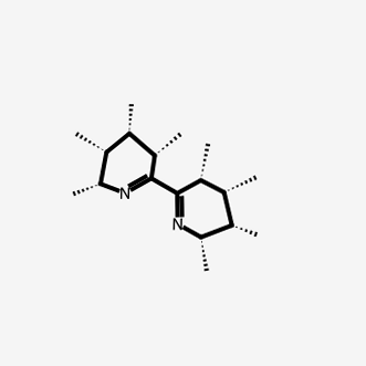 C[C@@H]1[C@H](C)[C@H](C)C(C2=N[C@@H](C)[C@@H](C)[C@@H](C)[C@H]2C)=N[C@@H]1C